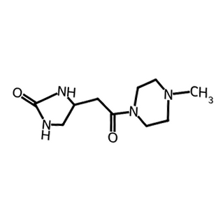 CN1CCN(C(=O)CC2CNC(=O)N2)CC1